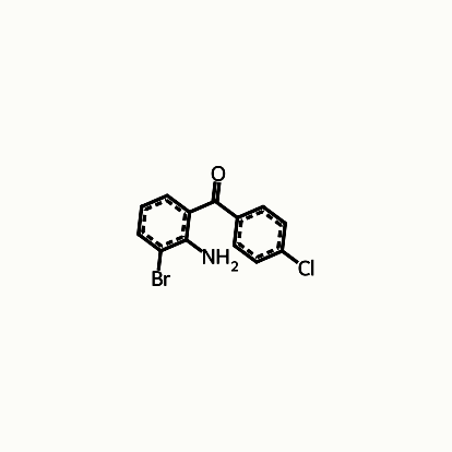 Nc1c(Br)cccc1C(=O)c1ccc(Cl)cc1